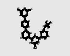 Cc1cc(-c2ccc(-c3cccc(-c4nc(Cl)nc(-c5cccc(CC(C)(C)C)c5)n4)c3)cc2)cc(C)n1